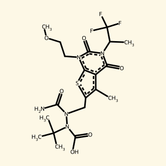 COCCn1c(=O)n(C(C)C(F)(F)F)c(=O)c2c(C)c(CN(C(N)=O)N(C(=O)O)C(C)(C)C)sc21